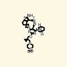 N#Cc1c(N2C[C@H]3CC[C@@H](C2)N3)nc(OCC2(CN3CCS(=O)(=O)CC3)CC2)nc1N1CC2(CCc3sc(N)c(C#N)c32)C1